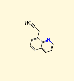 C#CCc1cccc2cccnc12